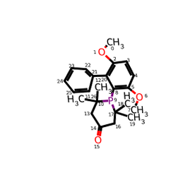 COc1ccc(OC)c(P2C(C)(C)CC(=O)CC2(C)C)c1-c1ccccc1